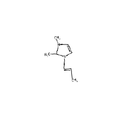 CC=CN1C=CN(C)C1C